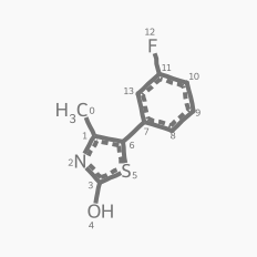 Cc1nc(O)sc1-c1cccc(F)c1